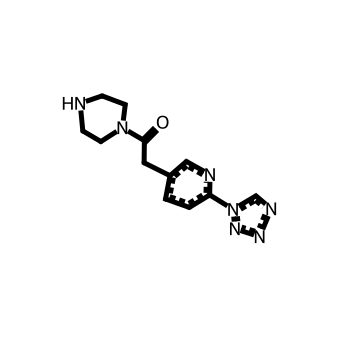 O=C(Cc1ccc(-n2cnnn2)nc1)N1CCNCC1